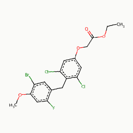 CCOC(=O)COc1cc(Cl)c(Cc2cc(Br)c(OC)cc2F)c(Cl)c1